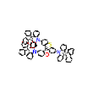 c1ccc([Si]2(c3ccccc3)c3ccccc3N(c3cc4c5c(c3)Sc3ccc(N6c7ccccc7[Si](c7ccccc7)(c7ccccc7)c7ccccc76)cc3B5c3cc(N5c6ccccc6[Si](c6ccccc6)(c6ccccc6)c6ccccc65)ccc3O4)c3ccccc32)cc1